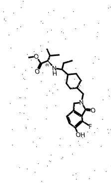 CCC(N[C@@H](C(=O)OC)C(C)C)C1CCC(CN2Cc3ccc(O)c(F)c3C2=O)CC1